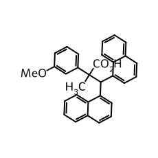 COc1cccc(C(C)(C(=O)O)C(c2cccc3ccccc23)c2cccc3ccccc23)c1